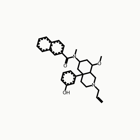 C=CCN1CCC2(c3cccc(O)c3)CC(N(C)C(=O)c3ccc4ccccc4c3)CC(OC)C2C1